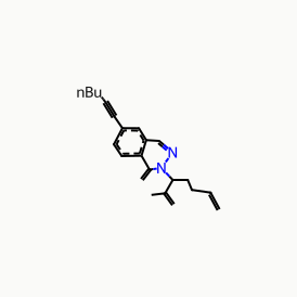 C=CCCC(C(=C)C)N1N=Cc2cc(C#CCCCC)ccc2C1=C